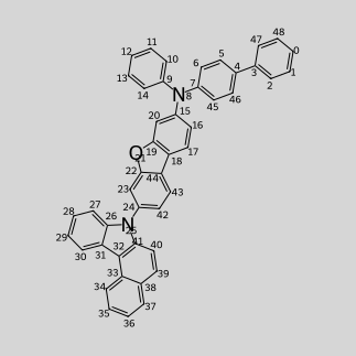 c1ccc(-c2ccc(N(c3ccccc3)c3ccc4c(c3)oc3cc(-n5c6ccccc6c6c7ccccc7ccc65)ccc34)cc2)cc1